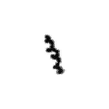 c1ccc(N(c2ccc(-c3ccc4ccc(-n5c6ccc(-c7cccc(-c8ccc(N(c9ccc(-c%10ccc%11ccc(-n%12c%13ccccc%13c%13c%14ccccc%14ccc%13%12)cc%11c%10)cc9)c9ccc%10ccccc%10c9)cc8)c7)cc6c6c7ccccc7ccc65)cc4c3)cc2)c2ccc(-c3cccc4ccccc34)cc2)cc1